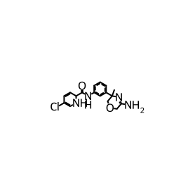 CC1(c2cccc(NC(=O)C3C=CC(Cl)=CN3)c2)COCC(N)=N1